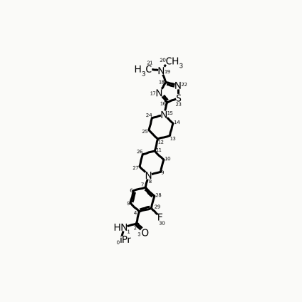 CC(C)NC(=O)c1ccc(N2CCC(C3CCN(c4nc(N(C)C)ns4)CC3)CC2)cc1F